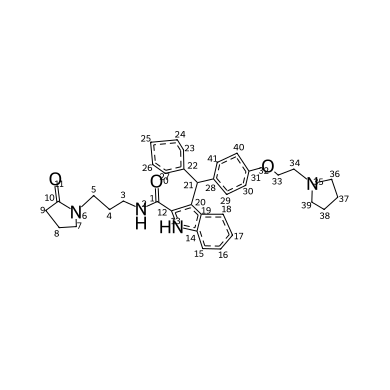 O=C(NCCCN1CCCC1=O)c1[nH]c2ccccc2c1C(c1ccccc1)c1ccc(OCCN2CCCC2)cc1